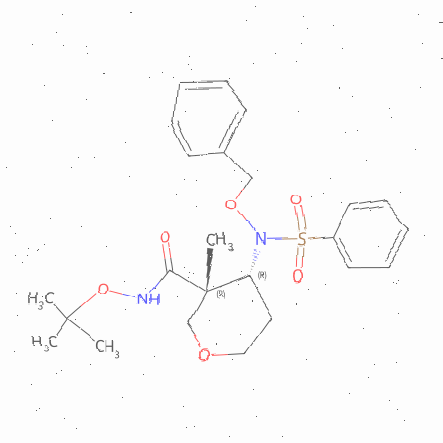 CC(C)(C)ONC(=O)[C@@]1(C)COCC[C@H]1N(OCc1ccccc1)S(=O)(=O)c1ccccc1